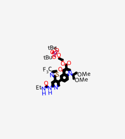 CCNC(=O)Nc1cc(-c2nc(C(F)(F)F)cs2)c(-c2ccc3c(c2)c(=O)c(C(=O)OCCOP(=O)(OC(C)(C)C)OC(C)(C)C)cn3C(COC)COC)cn1